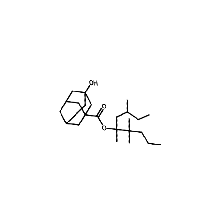 CCCC(C)(C)C(C)(CC(C)CC)OC(=O)C12CC3CC(CC(O)(C3)C1)C2